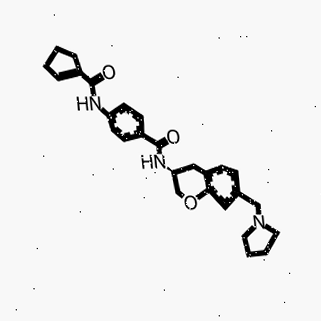 O=C(Nc1ccc(C(=O)N[C@H]2COc3cc(CN4CCCC4)ccc3C2)cc1)C1=CCCC1